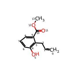 C=CCc1c(O)cccc1C(=O)OC